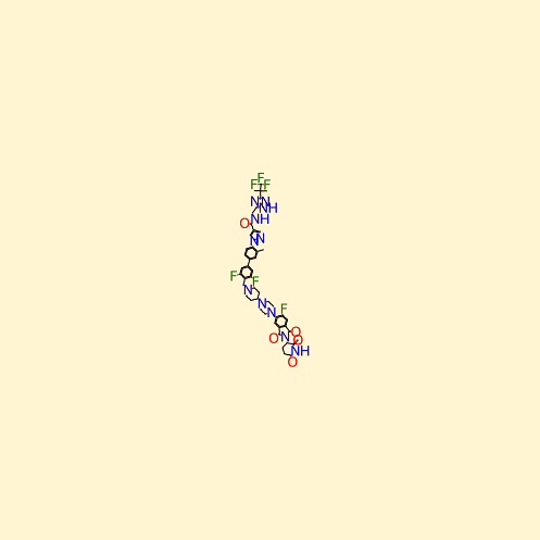 Cc1cc(-c2cc(F)c(CN3CCC(N4CCN(c5cc6c(cc5F)C(=O)N(C5CCC(=O)NC5=O)C6=O)CC4)CC3)c(F)c2)ccc1-n1cc(C(=O)NCc2nc(C(C)(C)C(F)(F)F)n[nH]2)cn1